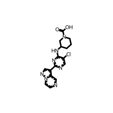 O=C(O)N1CCCC(Nc2nc(-c3cnn4ccncc34)ncc2Cl)C1